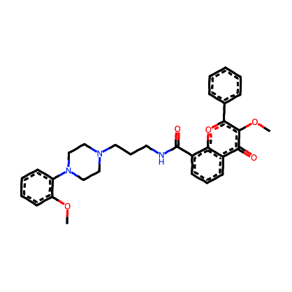 COc1ccccc1N1CCN(CCCNC(=O)c2cccc3c(=O)c(OC)c(-c4ccccc4)oc23)CC1